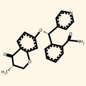 C[C@H]1COc2cc(O[C@H](c3ccncc3)c3ccccc3C(N)=O)ccc2C1=O